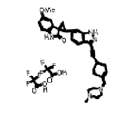 COc1ccc2c(c1)C1(CC1c1ccc3c(C#Cc4ccc(CN5CCN(C)CC5)cc4)n[nH]c3c1)C(=O)N2.O=C(O)C(F)(F)F.O=C(O)C(F)(F)F